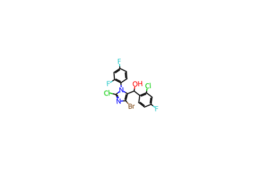 OC(c1ccc(F)cc1Cl)c1c(Br)nc(Cl)n1-c1ccc(F)cc1F